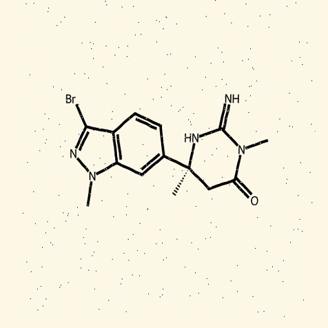 CN1C(=N)N[C@](C)(c2ccc3c(Br)nn(C)c3c2)CC1=O